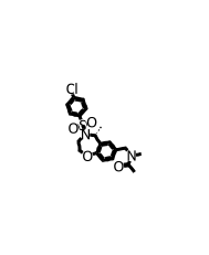 CC(=O)N(C)Cc1ccc2c(c1)[C@@H](C)N(S(=O)(=O)c1ccc(Cl)cc1)CCO2